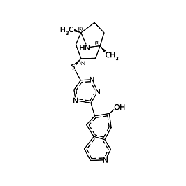 C[C@]12CC[C@](C)(C[C@@H](Sc3cnc(-c4cc5ccncc5cc4O)nn3)C1)N2